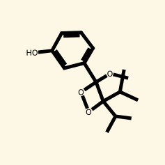 COC1(c2cccc(O)c2)OOC1(C(C)C)C(C)C